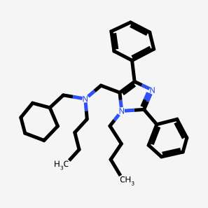 CCCCN(Cc1c(-c2ccccc2)nc(-c2ccccc2)n1CCCC)CC1CCCCC1